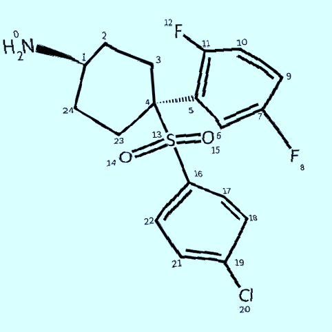 N[C@H]1CC[C@@](c2cc(F)ccc2F)(S(=O)(=O)c2ccc(Cl)cc2)CC1